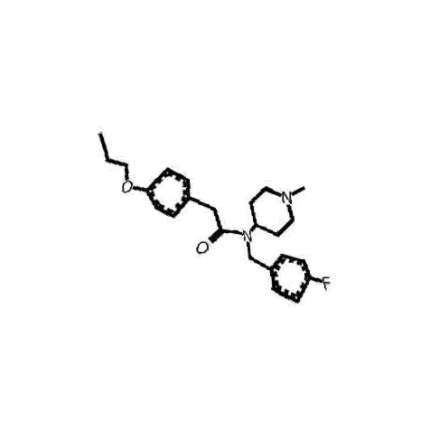 CCCOc1ccc(CC(=O)N(Cc2ccc(F)cc2)C2CCN(C)CC2)cc1